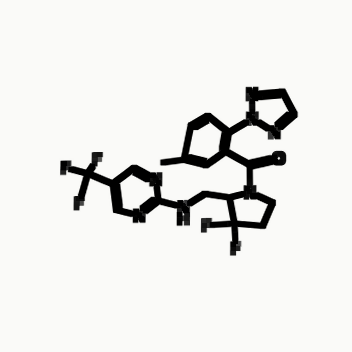 Cc1ccc(-n2nccn2)c(C(=O)N2CCC(F)(F)C2CNc2ncc(C(F)(F)F)cn2)c1